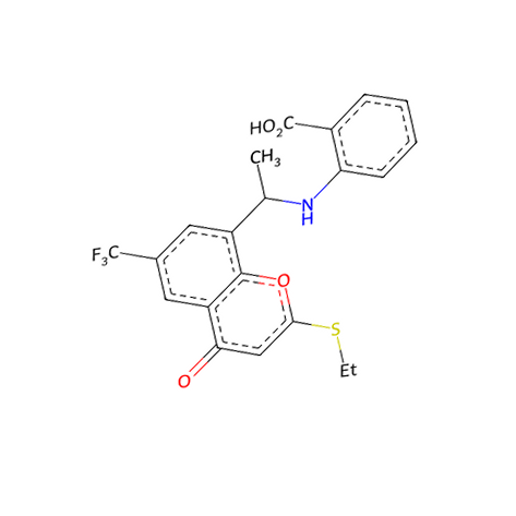 CCSc1cc(=O)c2cc(C(F)(F)F)cc(C(C)Nc3ccccc3C(=O)O)c2o1